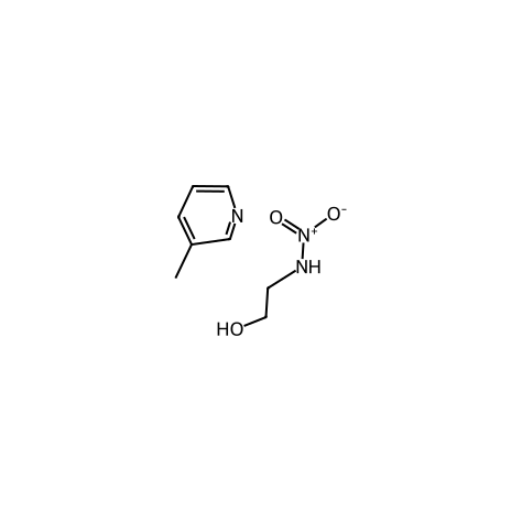 Cc1cccnc1.O=[N+]([O-])NCCO